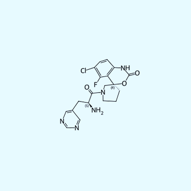 N[C@@H](Cc1cncnc1)C(=O)N1CCC[C@@]2(C1)OC(=O)Nc1ccc(Cl)c(F)c12